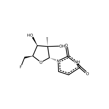 C[C@@]1(O)[C@H](O)[C@H](CF)O[C@H]1n1ccc(=O)[nH]c1=O